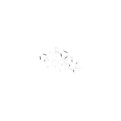 Cc1cc2nc3c(=O)[nH]c(=O)nc-3n(C[C@H](O)[C@H](O)[C@H](O)CO)c2cc1NCCc1ccccn1